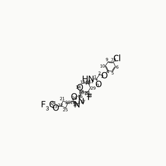 O=C(COc1ccc(Cl)cc1)N[C@H]1CO[C@H](c2nnc(C3CC(OC(F)(F)F)C3)o2)[C@@H](F)C1